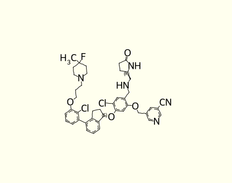 CC1(F)CCN(CCCOc2cccc(-c3cccc4c3CC[C@@H]4Oc3cc(OCc4cncc(C#N)c4)c(CNC[C@H]4CCC(=O)N4)cc3Cl)c2Cl)CC1